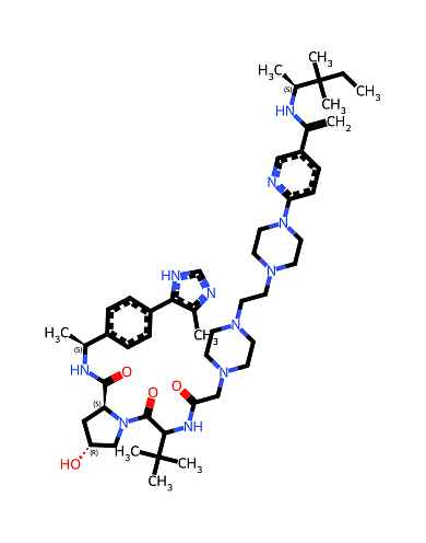 C=C(N[C@@H](C)C(C)(C)CC)c1ccc(N2CCN(CCN3CCN(CC(=O)NC(C(=O)N4C[C@H](O)C[C@H]4C(=O)N[C@@H](C)c4ccc(-c5[nH]cnc5C)cc4)C(C)(C)C)CC3)CC2)nc1